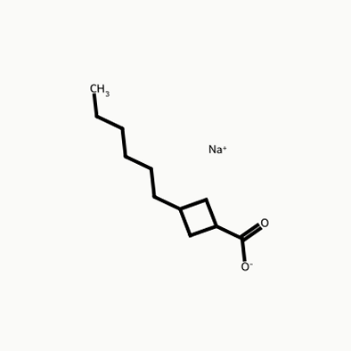 CCCCCCC1CC(C(=O)[O-])C1.[Na+]